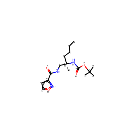 CCCC[C@](C)(CNC(=O)c1ccon1)NC(=O)OC(C)(C)C